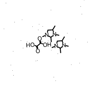 CC1CN(C)C(C)N1C.CC1CN(C)C(C)N1C.O=C(O)C(=O)O